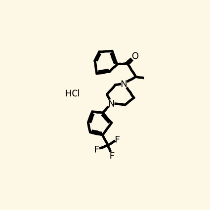 CC(C(=O)c1ccccc1)N1CCN(c2cccc(C(F)(F)F)c2)CC1.Cl